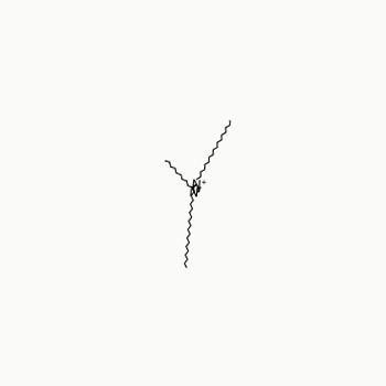 CCCCCCCCCCCCCCCCCCn1cc[n+](CCCCCCCCCCCCCCCCC)c1CCCCCCCCC